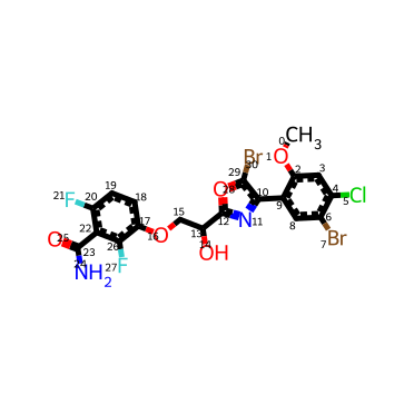 COc1cc(Cl)c(Br)cc1-c1nc(C(O)COc2ccc(F)c(C(N)=O)c2F)oc1Br